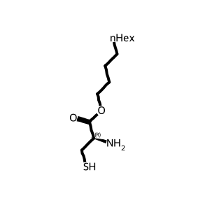 CCCCCCCCCCOC(=O)[C@@H](N)CS